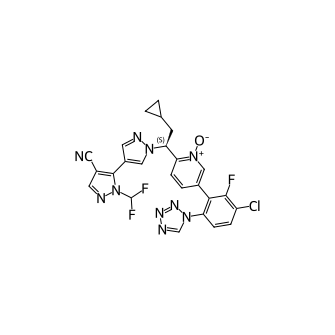 N#Cc1cnn(C(F)F)c1-c1cnn([C@@H](CC2CC2)c2ccc(-c3c(-n4cnnn4)ccc(Cl)c3F)c[n+]2[O-])c1